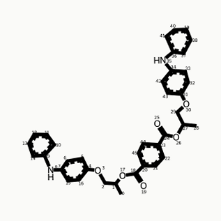 CC(COc1ccc(Nc2ccccc2)cc1)OC(=O)c1ccc(C(=O)OC(C)COc2ccc(Nc3ccccc3)cc2)cc1